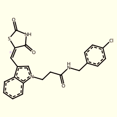 O=C(CCn1cc(/C=C2/SC(=O)NC2=O)c2ccccc21)NCc1ccc(Cl)cc1